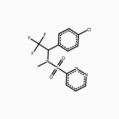 CN(C(c1ccc(Cl)cc1)C(F)(F)F)S(=O)(=O)c1cccnn1